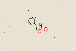 COC1=N[C@H](c2ccccc2)CO1